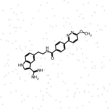 COc1ccc(-c2ccc(C(=O)NCCc3ccc4[nH]cc(C(=N)N)c4c3)cc2)nn1